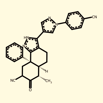 C[C@@H]1C(=O)C(C#N)C[C@@]2(c3ccccc3)c3n[nH]c(-c4cnn(-c5ccc(C#N)cc5)c4)c3CC[C@@H]12